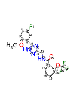 COc1ccc(F)cc1-c1nc(CNC(=O)c2ccccc2OC(F)(F)F)n[nH]1